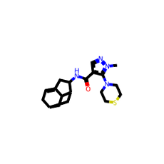 Cn1ncc(C(=O)NC2CC3=CCC4CC3C2C4)c1N1CCSCC1